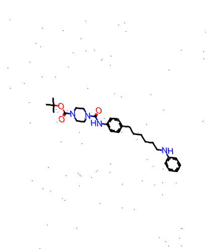 CC(C)(C)OC(=O)N1CCN(C(=O)Nc2ccc(CCCCCCNc3ccccc3)cc2)CC1